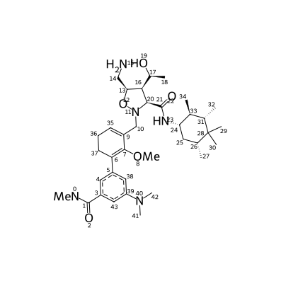 CNC(=O)c1cc(C2=C(OC)C(CN3O[C@@H](CN)[C@@H]([C@H](C)O)[C@H]3C(=O)N[C@H]3C[C@@H](C)C(C)(C)[C@@H](C)[C@@H]3C)=CCC2)cc(N(C)C)c1